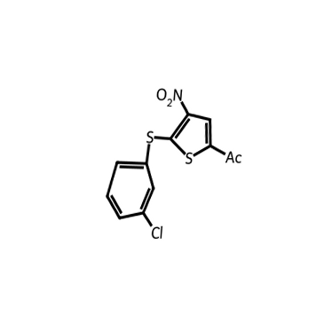 CC(=O)c1cc([N+](=O)[O-])c(Sc2cccc(Cl)c2)s1